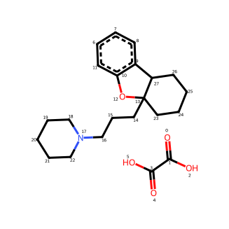 O=C(O)C(=O)O.c1ccc2c(c1)OC1(CCCN3CCCCC3)CCCCC21